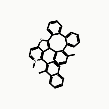 Cc1cccc2c1-c1ccccc1-c1ccccc1-c1sc3cc[n+](C)c(-c4ccc5ccccc5c4C)c3c1-2